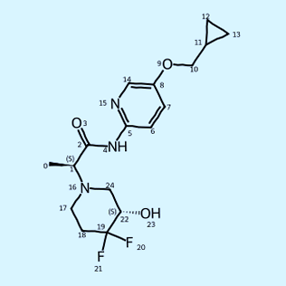 C[C@@H](C(=O)Nc1ccc(OCC2CC2)cn1)N1CCC(F)(F)[C@@H](O)C1